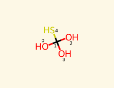 OC(O)(O)S